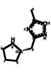 Cc1nc(C[C@@H]2CCCN2)no1